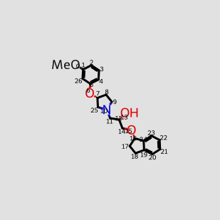 COc1cccc(O[C@H]2CCN(CC(O)CO[C@@H]3CCc4ccccc43)C2)c1